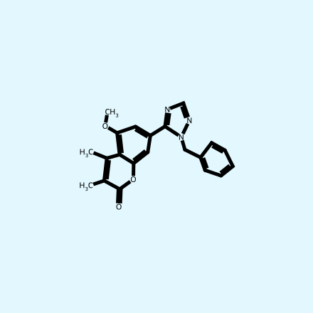 COc1cc(-c2ncnn2Cc2ccccc2)cc2oc(=O)c(C)c(C)c12